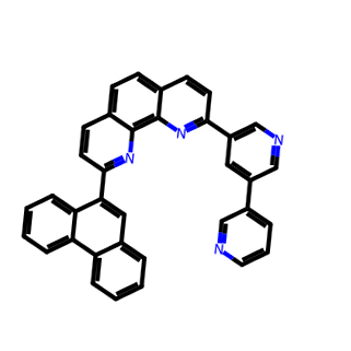 c1cncc(-c2cncc(-c3ccc4ccc5ccc(-c6cc7ccccc7c7ccccc67)nc5c4n3)c2)c1